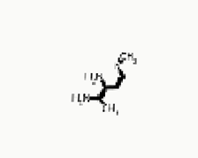 C=N/C=C\C(N)=C(/C)N